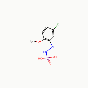 COc1ccc(Cl)cc1NNP(=O)(O)O